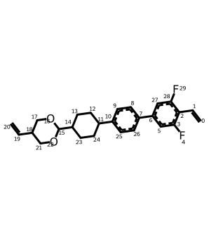 C=Cc1c(F)cc(-c2ccc(C3CCC(C4OCC(C=C)CO4)CC3)cc2)cc1F